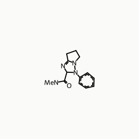 CNC(=O)C1N=C2CCCN2N1c1ccccc1